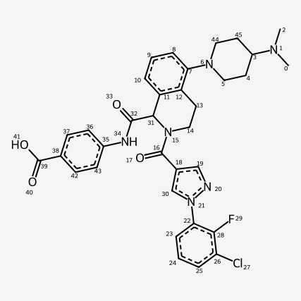 CN(C)C1CCN(c2cccc3c2CCN(C(=O)c2cnn(-c4cccc(Cl)c4F)c2)C3C(=O)Nc2ccc(C(=O)O)cc2)CC1